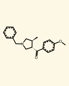 COc1ccc(C(=O)[C@@H]2CN(Cc3ccccc3)C[C@H]2C)cc1